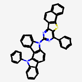 c1ccc(-c2nc(-n3c4ccccc4c4c3ccc3c5ccccc5n(-c5ccccc5)c34)nc3c2sc2c4ccccc4ccc32)cc1